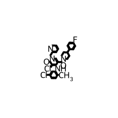 Cc1ccc(Cl)cc1Nc1c(C(=O)N2CCC(c3ccc(F)cc3)CC2)cn(Cc2ccccn2)c(=O)c1Cl